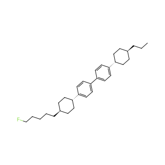 CCC[C@H]1CC[C@H](c2ccc(-c3ccc([C@H]4CC[C@H](CCCCCF)CC4)cc3)cc2)CC1